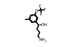 Cc1cc(OC(F)(F)F)cc([C@@H](O)CCCN)c1